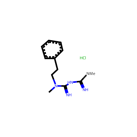 CNC(=N)NC(=N)N(C)CCc1ccccc1.Cl